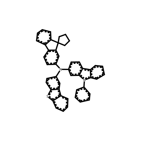 c1ccc(-n2c3ccccc3c3ccc(N(c4ccc5c(c4)C4(CCCC4)c4ccccc4-5)c4ccc5sc6ccccc6c5c4)cc32)cc1